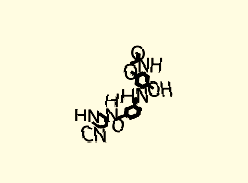 N#CC1CNCC(NC(=O)c2cccc(CNc3cc4c(cc3O)NC(=O)CO4)c2)C1